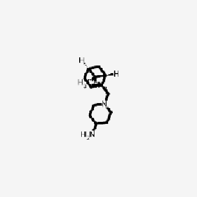 CC1(C)[C@H]2CC=C(CN3CCC(N)CC3)[C@H]1C2